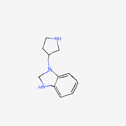 [CH]1Nc2ccccc2N1C1CCNC1